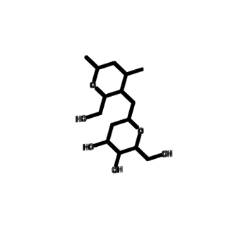 CC1CC(C)C(CC2CC(O)C(O)C(CO)O2)C(CO)O1